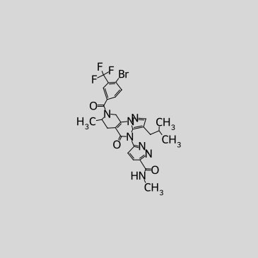 CNC(=O)c1ccc(-n2c(=O)c3c(n4ncc(CC(C)C)c24)CN(C(=O)c2ccc(Br)c(C(F)(F)F)c2)C(C)C3)nn1